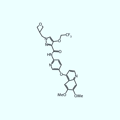 COc1cc2nccc(Oc3ccc(NC(=O)c4nn(CC5COC5)cc4OCC(F)(F)F)nc3)c2cc1OC